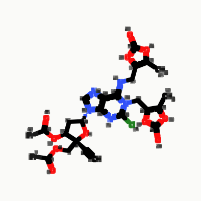 C#C[C@]1(COC(=O)C(C)C)O[C@@H](n2cnc3/c(=N/Cc4oc(=O)oc4C)n(Cc4oc(=O)oc4C)c(Cl)nc32)C[C@@H]1OC(=O)C(C)C